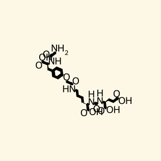 NCC(=O)N[C@@H](Cc1ccc(OCC(=O)NCCCC[C@H](NC(=O)N[C@@H](CCC(=O)O)C(=O)O)C(=O)O)cc1)C(=O)O